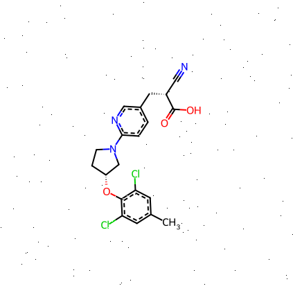 Cc1cc(Cl)c(O[C@@H]2CCN(c3ccc(C[C@H](C#N)C(=O)O)cn3)C2)c(Cl)c1